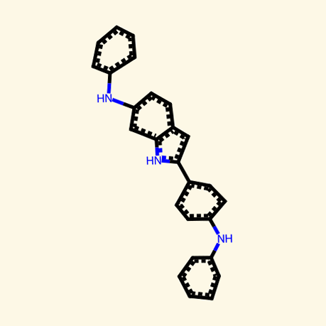 c1ccc(Nc2ccc(-c3cc4ccc(Nc5ccccc5)cc4[nH]3)cc2)cc1